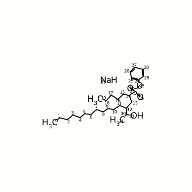 CCCCCCCCCCCCC(CC(CCCCC)S(=O)(=O)Oc1ccccc1)C(C)O.[NaH]